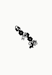 CC[C@@H](C)[C@H](N)C(=O)Nc1ccc(-c2ccnc(Nc3ccc(N4CCOCC4)cc3)n2)cc1